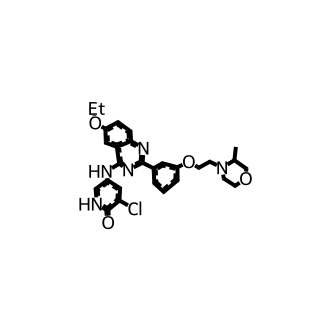 CCOc1ccc2nc(-c3cccc(OCCN4CCOCC4C)c3)nc(Nc3c[nH]c(=O)c(Cl)c3)c2c1